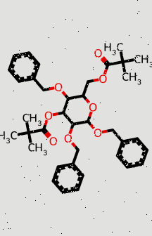 CC(C)(C)C(=O)OCC1OC(OCc2ccccc2)C(OCc2ccccc2)C(OC(=O)C(C)(C)C)C1OCc1ccccc1